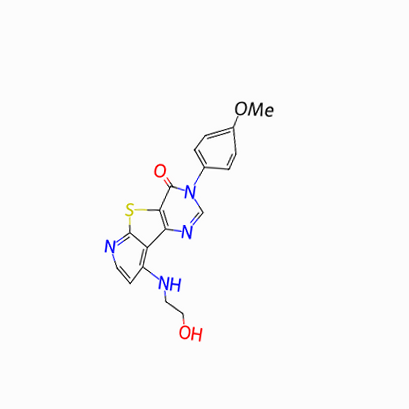 COc1ccc(-n2cnc3c(sc4nccc(NCCO)c43)c2=O)cc1